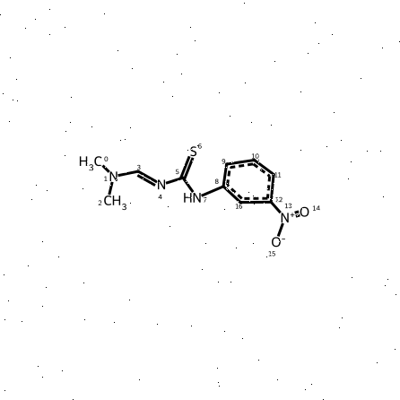 CN(C)C=NC(=S)Nc1cccc([N+](=O)[O-])c1